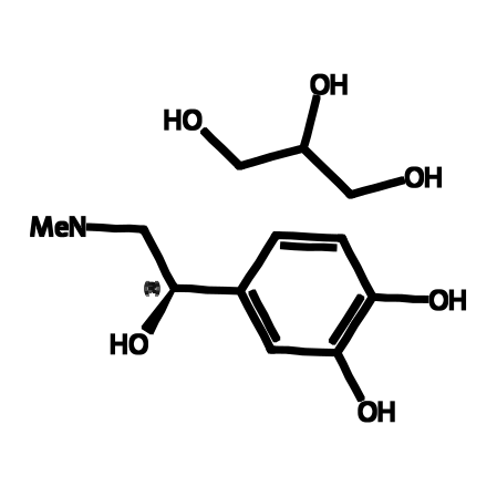 CNC[C@H](O)c1ccc(O)c(O)c1.OCC(O)CO